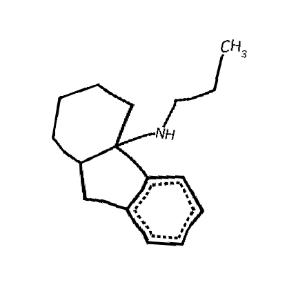 CCCNC12CCCCC1Cc1ccccc12